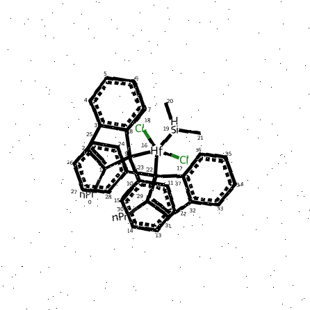 CCCC1=Cc2ccccc2[C]1(c1ccccc1)[Hf]([Cl])([Cl])([SiH](C)C)[C]1(c2ccccc2)C(CCC)=Cc2ccccc21